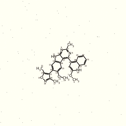 COC1=CC(c2nc(C)nc3[nH]c4cc(-c5c(C)noc5C)c(OC)cc4c23)=C2C=CC=CC2N1